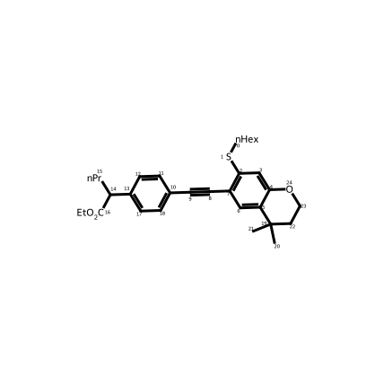 CCCCCCSc1cc2c(cc1C#Cc1ccc(C(CCC)C(=O)OCC)cc1)C(C)(C)CCO2